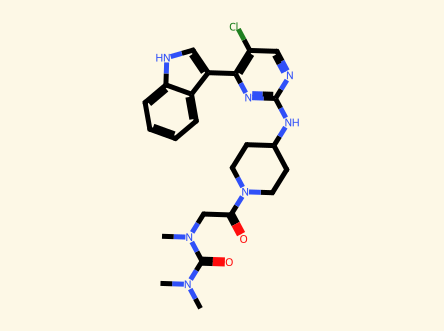 CN(C)C(=O)N(C)CC(=O)N1CCC(Nc2ncc(Cl)c(-c3c[nH]c4ccccc34)n2)CC1